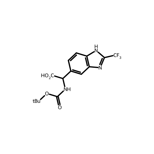 CC(C)(C)OC(=O)NC(C(=O)O)c1ccc2[nH]c(C(F)(F)F)nc2c1